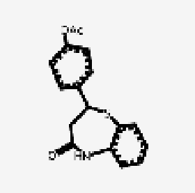 CC(=O)Oc1ccc(C2CC(=O)Nc3ccccc3S2)cc1